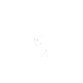 CCC[CH2][Sn]([CH2]CCC)([CH2]CCC)[c]1cc(OCC(F)(F)F)ccn1